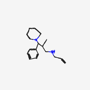 C=CCNCC(C)C(c1ccccc1)N1CCCCC1